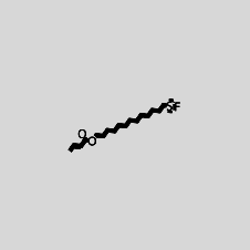 CC=CC(=O)OCCCCCCCCCCCCC[Si](C)(C)F